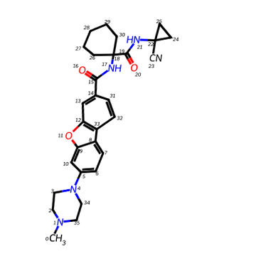 CN1CCN(c2ccc3c(c2)oc2cc(C(=O)NC4(C(=O)NC5(C#N)CC5)CCCCC4)ccc23)CC1